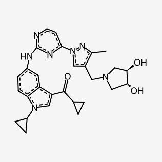 Cc1nn(-c2ccnc(Nc3ccc4c(c3)c(C(=O)C3CC3)cn4C3CC3)n2)cc1CN1C[C@@H](O)[C@@H](O)C1